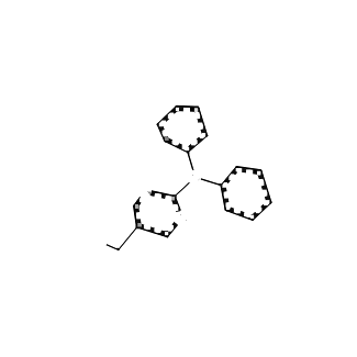 OCc1cnc(N(c2ccccc2)c2ccccc2)nc1